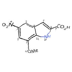 COc1cc([N+](=O)[O-])cc2cc(C(=O)O)[nH]c12